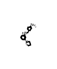 Nc1ccc(CNc2cccc(N3CCCS3)c2)cc1